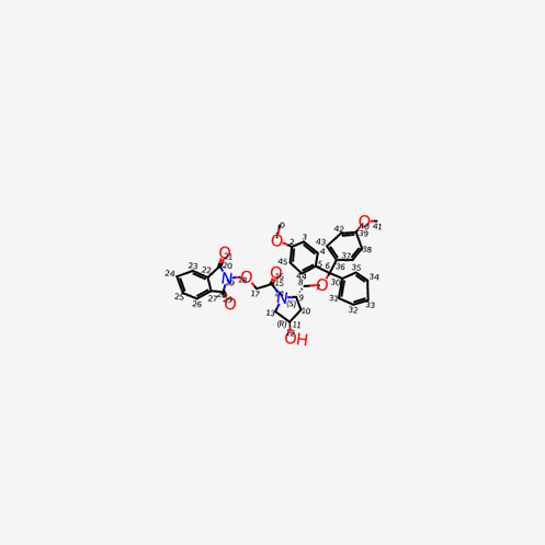 COc1ccc(C(OC[C@@H]2C[C@@H](O)CN2C(=O)CON2C(=O)c3ccccc3C2=O)(c2ccccc2)c2ccc(OC)cc2)cc1